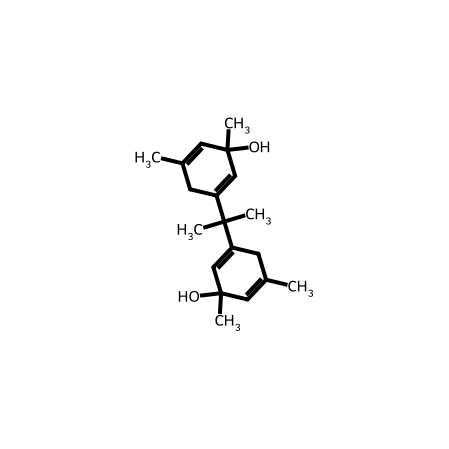 CC1=CC(C)(O)C=C(C(C)(C)C2=CC(C)(O)C=C(C)C2)C1